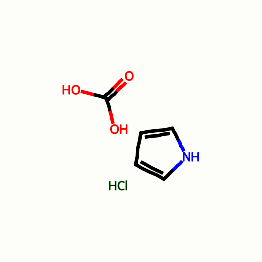 Cl.O=C(O)O.c1cc[nH]c1